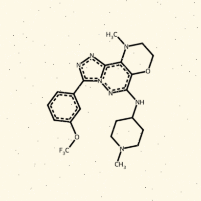 CN1CCC(Nc2nn3c(-c4cccc(OC(F)(F)F)c4)nnc3c3c2OCCN3C)CC1